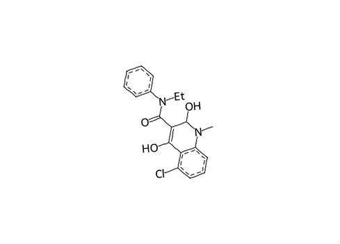 CCN(C(=O)C1=C(O)c2c(Cl)cccc2N(C)C1O)c1ccccc1